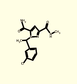 CNC(=O)c1cc(C(N)=O)n(C(C)c2cccc(Cl)c2)n1